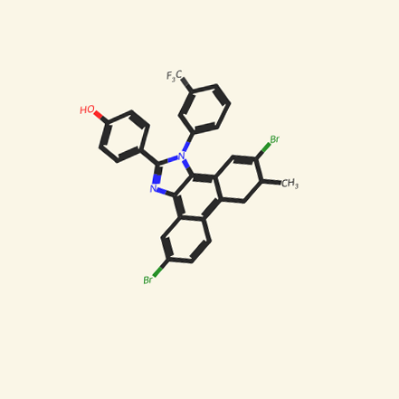 CC1Cc2c(c3c(nc(-c4ccc(O)cc4)n3-c3cccc(C(F)(F)F)c3)c3cc(Br)ccc23)C=C1Br